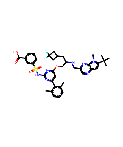 Cc1cccc(C)c1-c1cc(OCC(CC2CC(F)(F)C2)NCc2cnc3cc(C(C)(C)C)n(C)c3n2)nc(NS(=O)(=O)c2cccc(C(=O)O)c2)n1